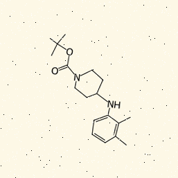 Cc1cccc(NC2CCN(C(=O)OC(C)(C)C)CC2)c1C